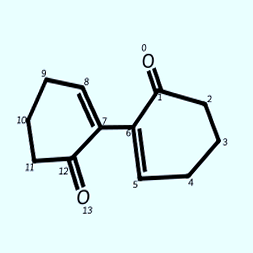 O=C1CCCC=C1C1=CCCCC1=O